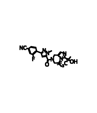 C[C@H]1CN(C(=O)c2cc(-c3ccc(C#N)cc3F)nn2C)Cc2cnc([C@@](C)(O)C(F)(F)F)n21